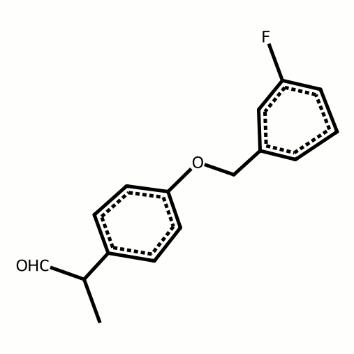 CC(C=O)c1ccc(OCc2cccc(F)c2)cc1